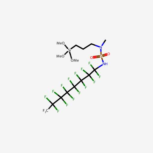 CO[Si](CCCN(C)S(=O)(=O)NC(F)(F)C(F)(F)C(F)(F)C(F)(F)C(F)(F)C(F)(F)C(F)(F)C(F)(F)F)(OC)OC